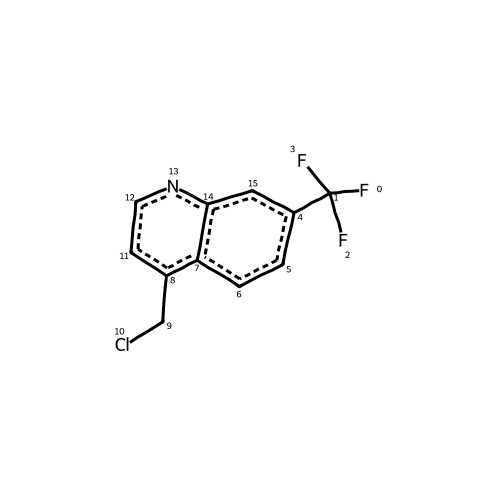 FC(F)(F)c1ccc2c(CCl)ccnc2c1